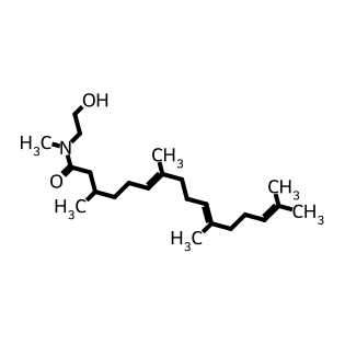 CC(C)=CCCC(C)=CCCC(C)=CCCC(C)CC(=O)N(C)CCO